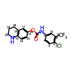 O=C(Nc1ccc(Cl)c(C(F)(F)F)c1)Oc1ccc2c(c1)CCCN2